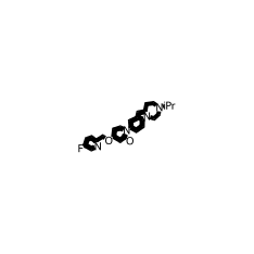 CC(C)N1CCc2cc3cc(-n4ccc(OCc5ccc(F)cn5)cc4=O)ccc3n2CC1